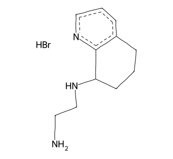 Br.NCCNC1CCCc2cccnc21